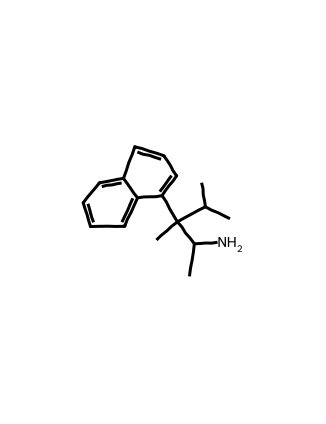 CC(C)C(C)(c1cccc2ccccc12)C(C)N